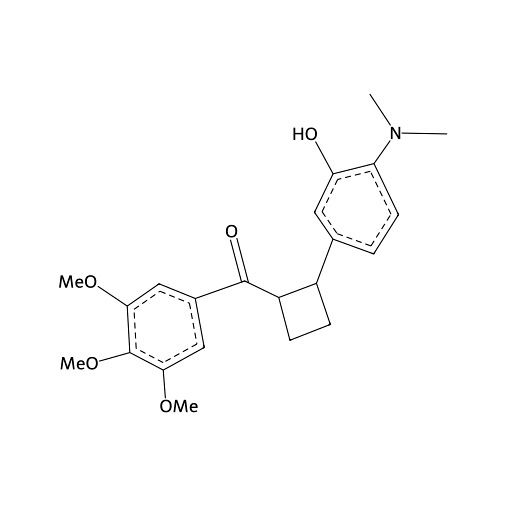 COc1cc(C(=O)C2CCC2c2ccc(N(C)C)c(O)c2)cc(OC)c1OC